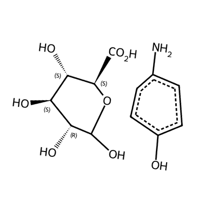 Nc1ccc(O)cc1.O=C(O)[C@H]1OC(O)[C@H](O)[C@@H](O)[C@@H]1O